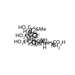 CSCCC(N)C(=O)O.N=C(N)NCCCC(N)C(=O)O.NC(Cc1ccc(O)cc1)C(=O)O.NC(Cc1ccccc1)C(=O)O